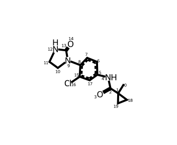 CC1(C(=O)Nc2ccc(N3CCNC3=O)c(Cl)c2)CC1